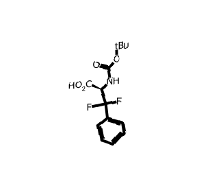 CC(C)(C)OC(=O)N[C@H](C(=O)O)C(F)(F)c1ccccc1